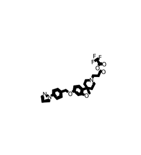 O=C(CCN1CCC2(CC1)COc1cc(OCc3ccc(-n4cccn4)cc3)ccc12)OC(=O)C(F)(F)F